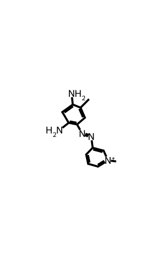 Cc1cc(N=Nc2ccc[n+](C)c2)c(N)cc1N